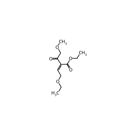 CCOC/C=C(/C(=O)COC)C(=O)OCC